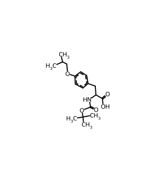 CC(C)COc1ccc(CC(NC(=O)OC(C)(C)C)C(=O)O)cc1